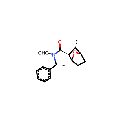 C[C@@H]1C2CCC(O2)[C@@H]1C(=O)N(C=O)[C@H](C)c1ccccc1